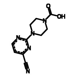 N#Cc1ccnc(N2CCN(C(=O)O)CC2)n1